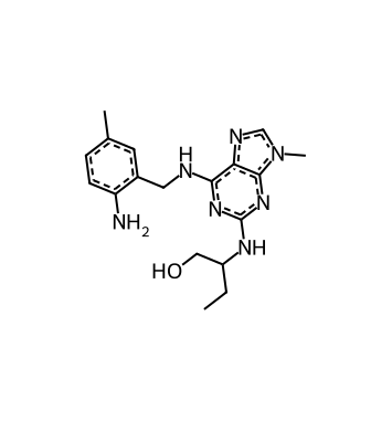 CCC(CO)Nc1nc(NCc2cc(C)ccc2N)c2ncn(C)c2n1